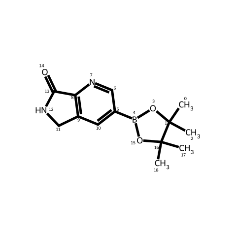 CC1(C)OB(c2cnc3c(c2)CNC3=O)OC1(C)C